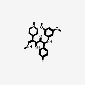 CN/C=C(\C(=N)C(=O)C(Nc1cc(OC)cc(OC)c1)c1ccc(F)cc1)C1CCN(C)CC1